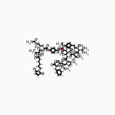 CC[C@H](C)[C@@H]([C@@H](CC(=O)N1CCC[C@H]1[C@H](OC)[C@@H](C)C(=O)N[C@@H](Cc1ccccc1)C(=O)O)OC)N(C)C(=O)[C@@H](NC(=O)[C@H](C(C)C)N(C)CCc1ccc(N(C)C(=O)OCc2ccc(NC(=O)[C@H](CCCNC(N)=O)NC(=O)[C@@H](NC(=O)CCCCCN3C(=O)C=CC3=O)C(C)C)cc2)cc1)C(C)C